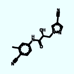 Cc1cc(NC(=O)[C@@H](O)Cn2cc(C#N)cn2)ccc1C#N